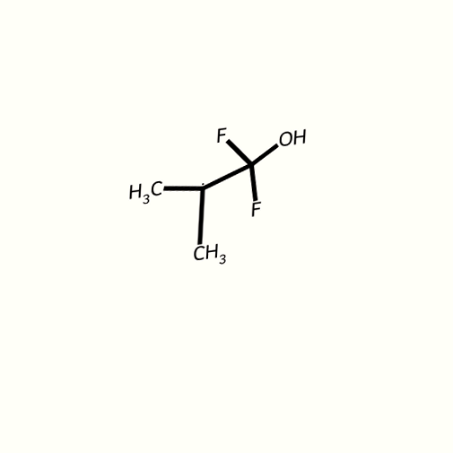 C[C](C)C(O)(F)F